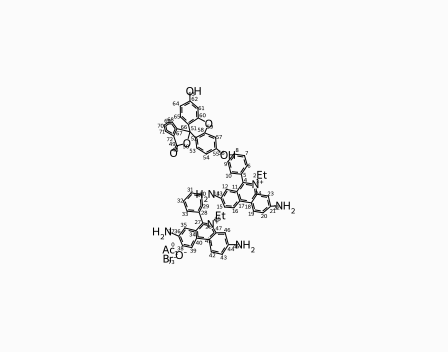 CC(=O)[O-].CC[n+]1c(-c2ccccc2)c2cc(N)ccc2c2ccc(N)cc21.CC[n+]1c(-c2ccccc2)c2cc(N)ccc2c2ccc(N)cc21.O=C1OC2(c3ccc(O)cc3Oc3cc(O)ccc32)c2ccccc21.[Br-]